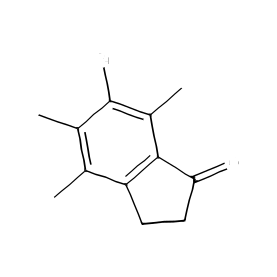 Cc1c(C)c2c(c(C)c1Br)C(=O)CC2